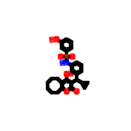 O=c1oc2c(c(O)c1C(c1cccc(NS(=O)(=O)c3cccc(O)c3)c1)C1CC1)CCCCCC2